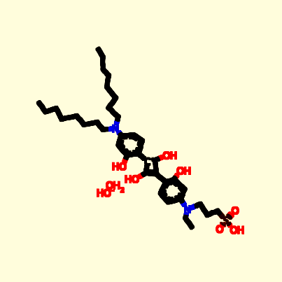 CCCCCCCCN(CCCCCCCC)c1ccc([C+]2C(O)=C(c3ccc(N(CC)CCCS(=O)(=O)O)cc3O)C2O)c(O)c1.O.[OH-]